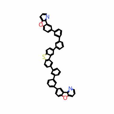 c1cc(-c2cccc(-c3ccc4oc5cccnc5c4c3)c2)cc(-c2ccc3sc4ccc(-c5cccc(-c6cccc(-c7ccc8oc9cccnc9c8c7)c6)c5)cc4c3c2)c1